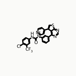 O=C(Nc1cccc(-c2ncnc3scc(-c4ccncc4)c23)c1)Nc1ccc(Cl)c(C(F)(F)F)c1